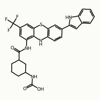 O=C(O)NC1CCCC(C(=O)Nc2cc(C(F)(F)F)cc3c2Nc2ccc(-c4cc5ccccc5[nH]4)cc2S3)C1